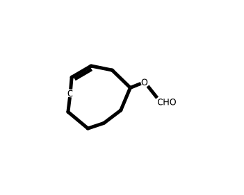 O=COC1CC=CCCCCC1